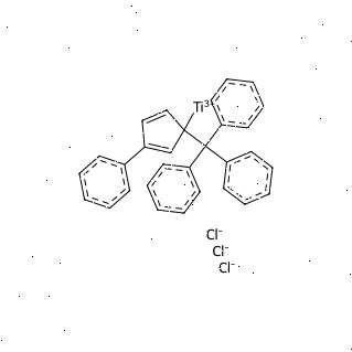 [Cl-].[Cl-].[Cl-].[Ti+3][C]1(C(c2ccccc2)(c2ccccc2)c2ccccc2)C=CC(c2ccccc2)=C1